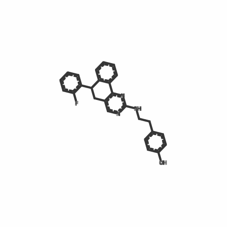 Oc1ccc(CCNc2ncc3c(n2)-c2ccccc2C(c2ccccc2F)C3)cc1